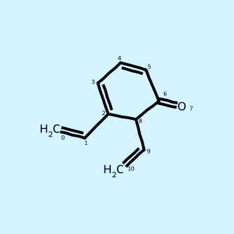 C=CC1=CC=CC(=O)C1C=C